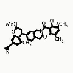 COC(=O)CC(c1ccc2c(c1)CN(C(=O)c1c(C)c(C)cc(C)c1C)CC2)c1ccc(C2=NC2)cc1C